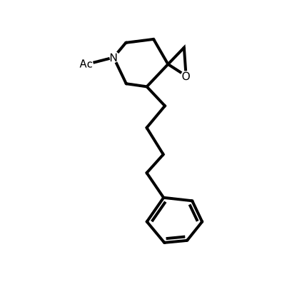 CC(=O)N1CCC2(CO2)C(CCCCc2ccccc2)C1